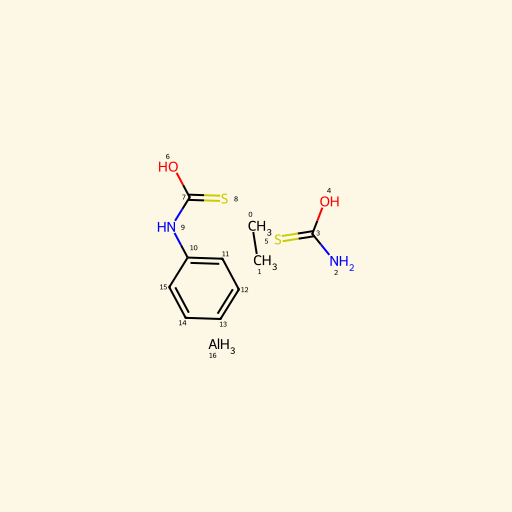 CC.NC(O)=S.OC(=S)Nc1ccccc1.[AlH3]